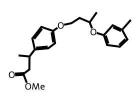 COC(=O)CC(C)c1ccc(OCCC(C)Oc2cccc(C)c2)cc1